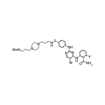 CNCCCN1CCN(CCCNSc2ccc(Nc3ncc(Br)c(Nc4cccc(F)c4C(N)=O)n3)cc2)CC1